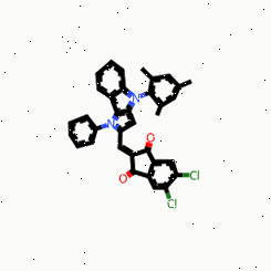 Cc1cc(C)c(-n2c3ccccc3c3c2cc(C=C2C(=O)c4cc(Cl)c(Cl)cc4C2=O)n3-c2ccccc2)c(C)c1